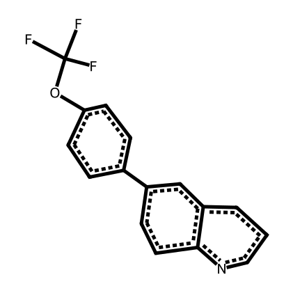 FC(F)(F)Oc1ccc(-c2ccc3ncccc3c2)cc1